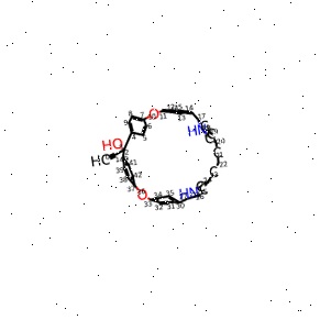 C#CC1(O)c2ccc(cc2)Oc2ccc(cc2)C2CCC(CCCC3CCC(NC3)c3ccc(cc3)Oc3ccc1cc3)CN2